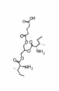 CC[C@H](C)[C@H](N)C(=O)OCC(COC(=O)CCCC(=O)O)OC(=O)[C@@H](N)[C@@H](C)CC